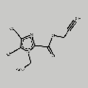 C#CCOC(=O)c1nc(Cl)c(Cl)n1COC(C)=O